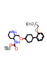 CCOC(=O)COc1ccccc1C1CCC(OCC2NCCCC2NC(=O)OC(C)(C)C)CC1